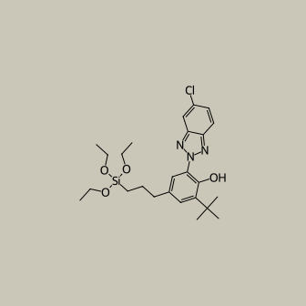 CCO[Si](CCCc1cc(-n2nc3ccc(Cl)cc3n2)c(O)c(C(C)(C)C)c1)(OCC)OCC